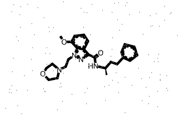 COc1cccc2c(C(=O)N[C@H](C)CCc3ccccc3)nn(CCN3CCOCC3)c12